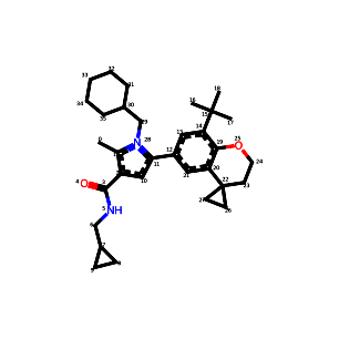 Cc1c(C(=O)NCC2CC2)cc(-c2cc(C(C)(C)C)c3c(c2)C2(CCO3)CC2)n1CC1CCCCC1